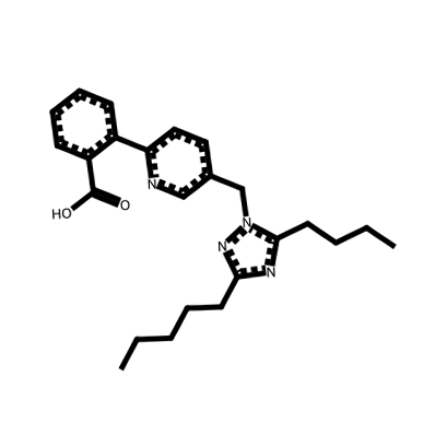 CCCCCc1nc(CCCC)n(Cc2ccc(-c3ccccc3C(=O)O)nc2)n1